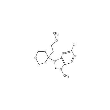 COCCC1(N2CN(C)c3cnc(Cl)nc32)CCOCC1